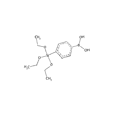 CCO[Si](OCC)(OCC)c1ccc(B(O)O)cc1